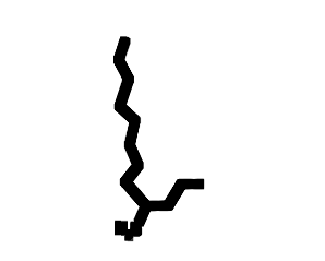 BC(CCC)CCCCCCCC